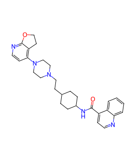 O=C(NC1CCC(CCN2CCN(c3ccnc4c3CCO4)CC2)CC1)c1ccnc2ccccc12